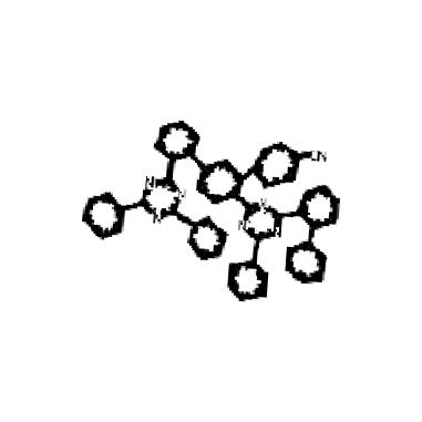 N#Cc1ccc(-c2cc(-c3ccccc3-c3nc(-c4ccccc4)nc(-c4ccccc4)n3)ccc2-c2nc(-c3ccccc3)nc(-c3ccccc3-c3ccccc3)n2)cc1